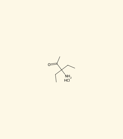 CCC(N)(CC)C(C)=O.Cl